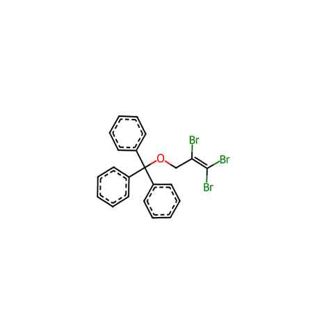 BrC(Br)=C(Br)COC(c1ccccc1)(c1ccccc1)c1ccccc1